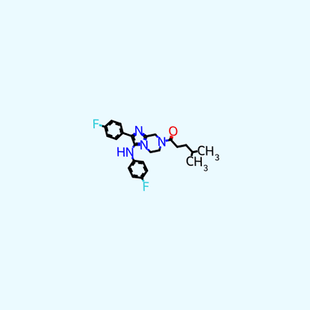 CC(C)CCC(=O)N1CCn2c(nc(-c3ccc(F)cc3)c2Nc2ccc(F)cc2)C1